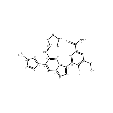 CNC(=O)c1cc(CO)c(F)c(-c2cnc3cc(-c4cnn(C)c4)c(O[C@H]4CCOC4)nn23)c1